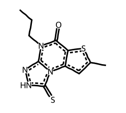 CCCn1c(=O)c2sc(C)cc2n2c(=S)[nH]nc12